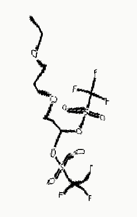 CCOCCOCC(OS(=O)(=O)C(F)(F)F)OS(=O)(=O)C(F)(F)F